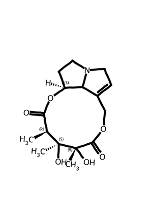 C[C@H]1C(=O)O[C@H]2CCN3CC=C(COC(=O)[C@](C)(O)[C@@]1(C)O)C23